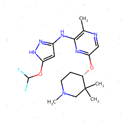 Cc1ncc(O[C@H]2CCN(C)CC2(C)C)nc1Nc1cc(OC(F)F)[nH]n1